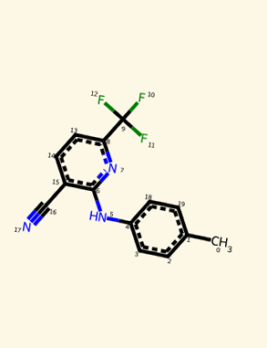 Cc1ccc(Nc2nc(C(F)(F)F)ccc2C#N)cc1